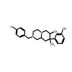 CC1CN2CCN(Cc3ccc(Cl)cc3)CC2CC1(C)c1cccc(O)c1